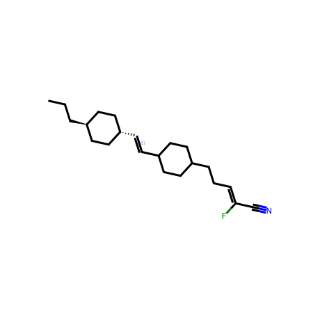 CCC[C@H]1CC[C@H](/C=C/C2CCC(CCC=C(F)C#N)CC2)CC1